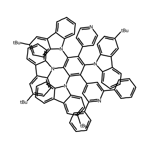 CC(C)(C)c1ccc2c(c1)c1ccccc1n2-c1c(-c2ccncc2)c(-n2c3ccccc3c3cc(C(C)(C)C)ccc32)c(-n2c3ccccc3c3cc(C(C)(C)C)ccc32)c(-n2c3ccccc3c3cc(C(C)(C)C)ccc32)c1-c1cc(-c2ccccc2)nc(-c2ccccc2)c1